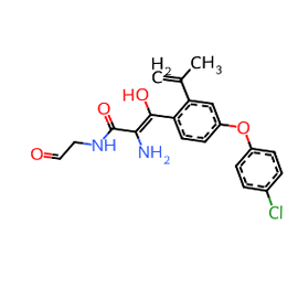 C=C(C)c1cc(Oc2ccc(Cl)cc2)ccc1/C(O)=C(\N)C(=O)NCC=O